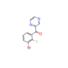 O=C(c1cnccn1)c1cccc(Br)c1F